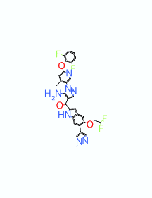 Cc1cc(Oc2c(F)cccc2F)ncc1-n1ncc(C(=O)c2cc3cc(OCC(F)F)c(-c4cnn(C)c4)cc3[nH]2)c1N